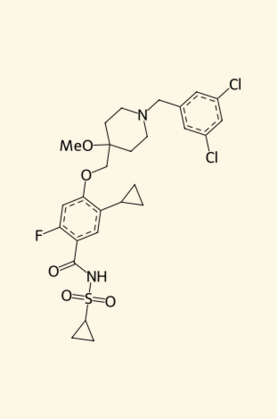 COC1(COc2cc(F)c(C(=O)NS(=O)(=O)C3CC3)cc2C2CC2)CCN(Cc2cc(Cl)cc(Cl)c2)CC1